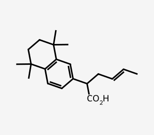 C/C=C/CC(C(=O)O)c1ccc2c(c1)C(C)(C)CCC2(C)C